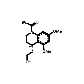 COc1cc(OC)c2c(c1)N(C(=O)C(C)C)CC[C@H]2CCO